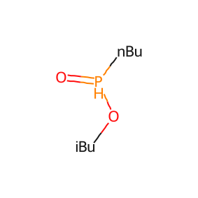 CCCC[PH](=O)OC(C)CC